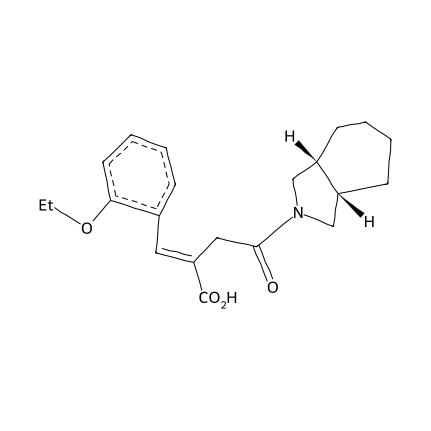 CCOc1ccccc1/C=C(\CC(=O)N1C[C@H]2CCCC[C@H]2C1)C(=O)O